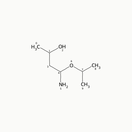 CC(O)CC(N)OC(C)C